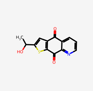 CC(O)c1cc2c(s1)C(=O)c1ncccc1C2=O